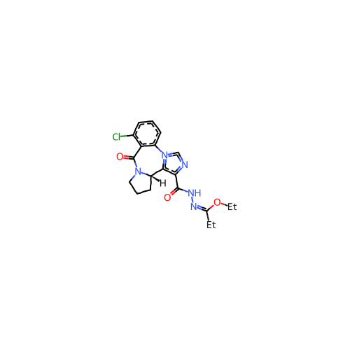 CCO/C(CC)=N\NC(=O)c1ncn2c1[C@@H]1CCCN1C(=O)c1c(Cl)cccc1-2